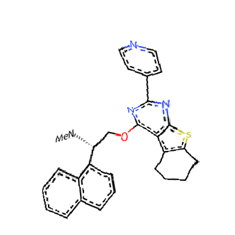 CN[C@H](COc1nc(-c2ccncc2)nc2sc3c(c12)CCCC3)c1cccc2ccccc12